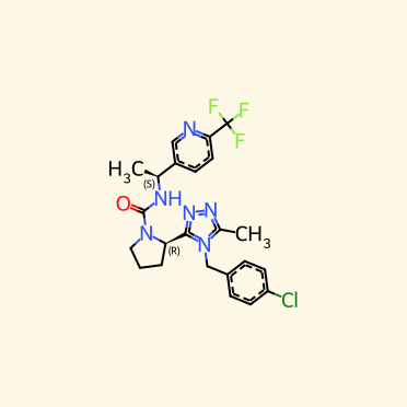 Cc1nnc([C@H]2CCCN2C(=O)N[C@@H](C)c2ccc(C(F)(F)F)nc2)n1Cc1ccc(Cl)cc1